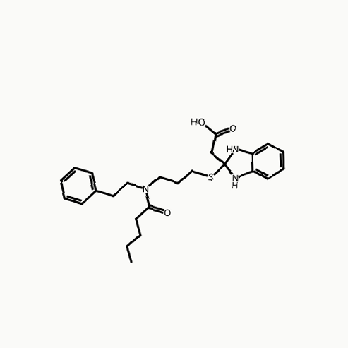 CCCCC(=O)N(CCCSC1(CC(=O)O)Nc2ccccc2N1)CCc1ccccc1